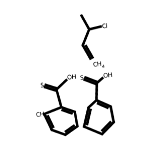 C.C.C=CC(C)Cl.OC(=S)c1ccccc1.OC(=S)c1ccccc1